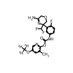 [2H]C([2H])([2H])Oc1cnc(OC(=O)Nc2ccc(F)c(C3(C(F)F)COCC(N)=N3)c2)c(C)c1